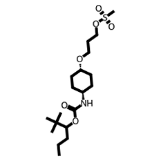 CCCC(OC(=O)N[C@H]1CC[C@H](OCCCOS(C)(=O)=O)CC1)C(C)(C)C